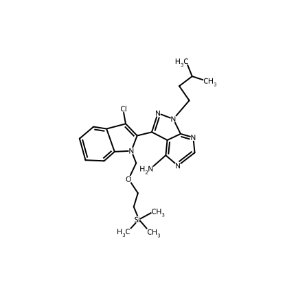 CC(C)CCn1nc(-c2c(Cl)c3ccccc3n2COCC[Si](C)(C)C)c2c(N)ncnc21